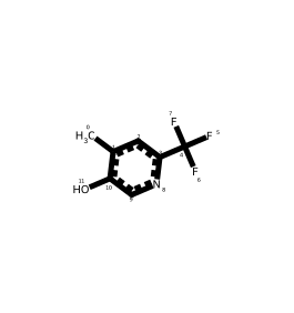 Cc1cc(C(F)(F)F)ncc1O